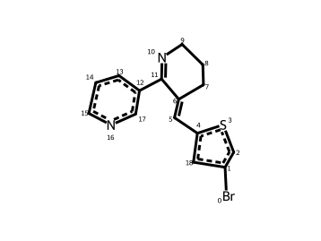 Brc1csc(/C=C2\CCCN=C2c2cccnc2)c1